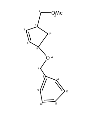 COCC1C=CC(OCc2ccccc2)C1